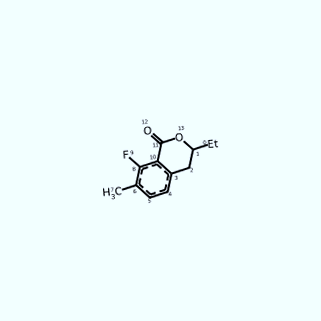 CCC1Cc2ccc(C)c(F)c2C(=O)O1